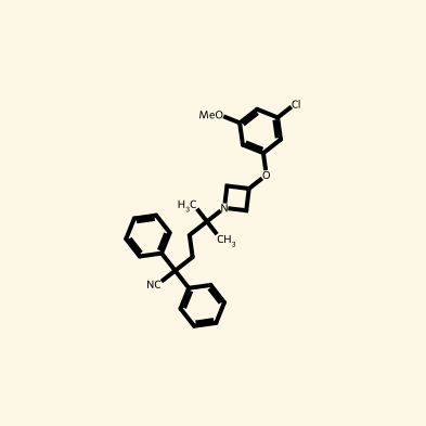 COc1cc(Cl)cc(OC2CN(C(C)(C)CCC(C#N)(c3ccccc3)c3ccccc3)C2)c1